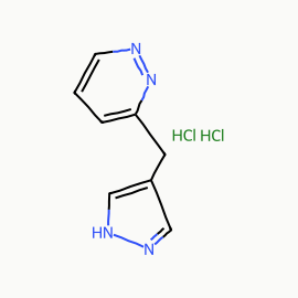 Cl.Cl.c1cnnc(Cc2cn[nH]c2)c1